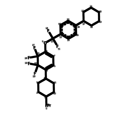 CCCC1CCC(C2=CC=C(OC(F)(F)c3ccc(C4CCCCC4)cc3)C(F)(F)C2(F)F)CC1